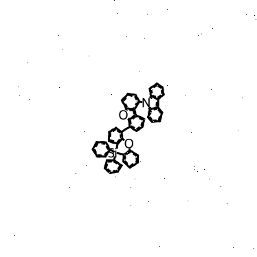 c1ccc([Si]2(c3ccccc3)c3ccccc3Oc3c(-c4cccc5c4oc4cccc(-n6c7ccccc7c7ccccc76)c45)cccc32)cc1